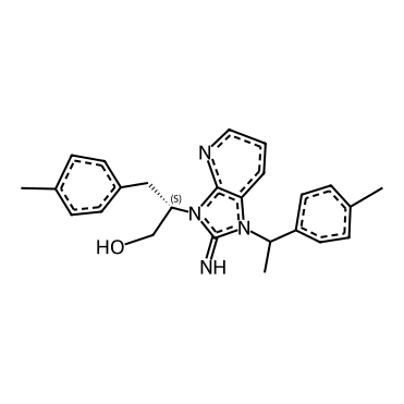 Cc1ccc(C[C@@H](CO)n2c(=N)n(C(C)c3ccc(C)cc3)c3cccnc32)cc1